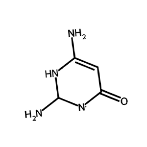 NC1=CC(=O)[N]C(N)N1